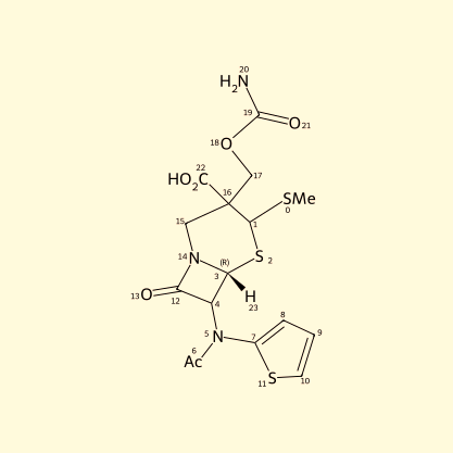 CSC1S[C@@H]2C(N(C(C)=O)c3cccs3)C(=O)N2CC1(COC(N)=O)C(=O)O